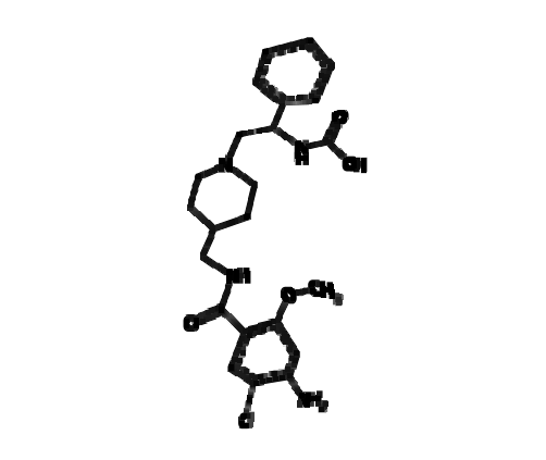 COc1cc(N)c(Cl)cc1C(=O)NCC1CCN(CC(NC(=O)O)c2ccccc2)CC1